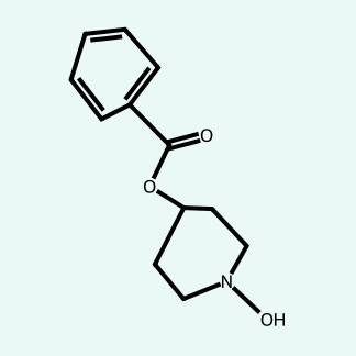 O=C(OC1CCN(O)CC1)c1ccccc1